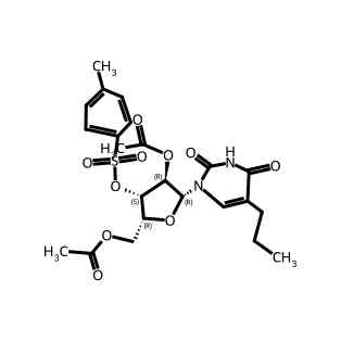 CCCc1cn([C@@H]2O[C@H](COC(C)=O)[C@H](OS(=O)(=O)c3ccc(C)cc3)[C@H]2OC(C)=O)c(=O)[nH]c1=O